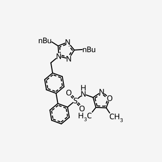 CCCCc1nc(CCCC)n(Cc2ccc(-c3ccccc3S(=O)(=O)Nc3noc(C)c3C)cc2)n1